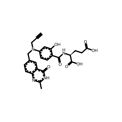 C#CCN(Cc1ccc2nc(C)[nH]c(=O)c2c1)c1ccc(C(=O)N[C@@H](CCC(=O)O)C(=O)O)c(O)c1